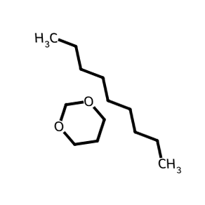 C1COCOC1.CCCCCCCCC